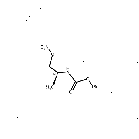 C[C@@H](CO[N+](=O)[O-])NC(=O)OC(C)(C)C